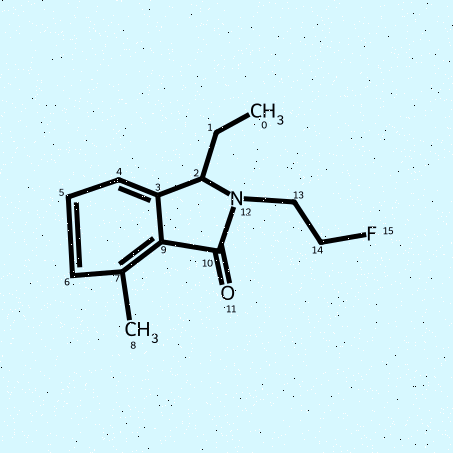 CCC1c2cccc(C)c2C(=O)N1CCF